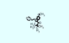 COc1ccc2c(C(=O)C3C(C)(C)C3(C)C)cn(CCN3CCOCC3)c2c1